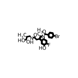 Cc1c(CC(=O)NCC(C)C(=O)O)c2cc(O)c(F)cc2n1C(=O)c1ccc(Br)cc1